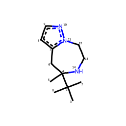 CC(C)(C)C1(C)Cc2ccnn2CCN1